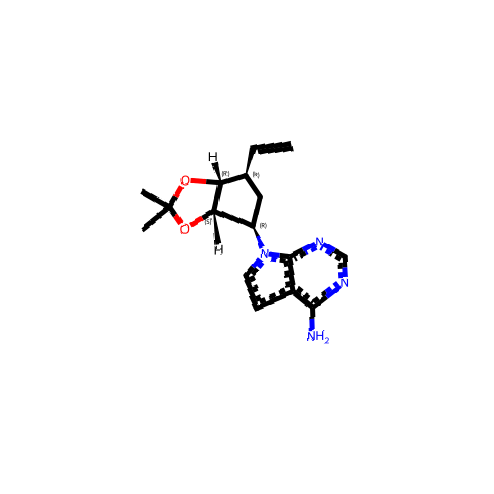 C=C[C@H]1C[C@@H](n2ccc3c(N)ncnc32)[C@@H]2OC(C)(C)O[C@@H]21